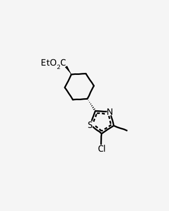 CCOC(=O)[C@H]1CC[C@H](c2nc(C)c(Cl)s2)CC1